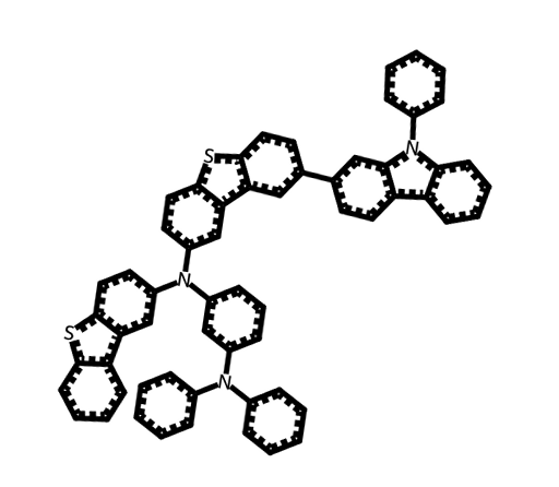 c1ccc(N(c2ccccc2)c2cccc(N(c3ccc4sc5ccccc5c4c3)c3ccc4sc5ccc(-c6ccc7c8ccccc8n(-c8ccccc8)c7c6)cc5c4c3)c2)cc1